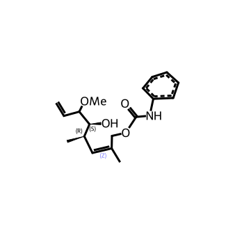 C=CC(OC)[C@@H](O)[C@H](C)/C=C(/C)COC(=O)Nc1ccccc1